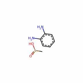 CS(=O)O.Nc1ccccc1N